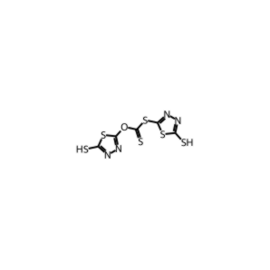 S=C(Oc1nnc(S)s1)Sc1nnc(S)s1